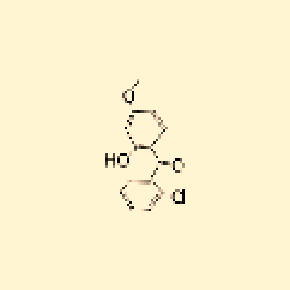 COc1ccc(C(=O)c2ccccc2Cl)c(O)c1